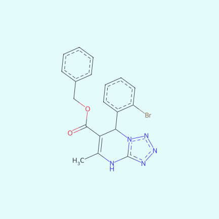 CC1=C(C(=O)OCc2ccccc2)C(c2ccccc2Br)n2nnnc2N1